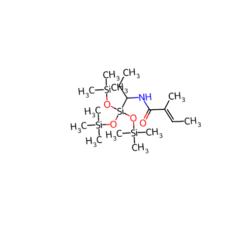 C/C=C(\C)C(=O)NC(CC)[Si](O[Si](C)(C)C)(O[Si](C)(C)C)O[Si](C)(C)C